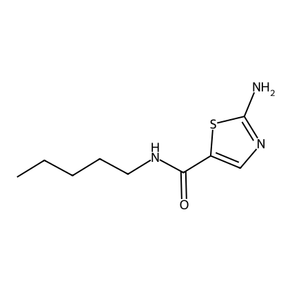 CCCCCNC(=O)c1cnc(N)s1